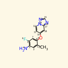 Cc1cc(N)c(F)cc1Oc1ccn2ncnc2c1